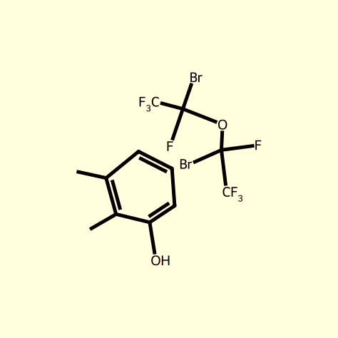 Cc1cccc(O)c1C.FC(F)(F)C(F)(Br)OC(F)(Br)C(F)(F)F